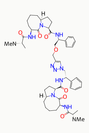 CN[C@@H](C)C(=O)N[C@H]1CCCC[C@H]2CC[C@@H](C(=O)N[C@H](COCc3cn(C[C@@H](NC(=O)[C@@H]4CC[C@@H]5CCCC[C@H](NC(=O)[C@H](C)NC)C(=O)N54)c4ccccc4)nn3)c3ccccc3)N2C1=O